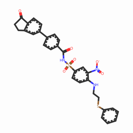 O=C(NS(=O)(=O)c1ccc(NCCSc2ccccc2)c([N+](=O)[O-])c1)c1ccc(-c2ccc3c(c2)CCC3=O)cc1